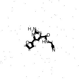 N#CCNC(=O)c1cc(-c2ccco2)nc(N)n1